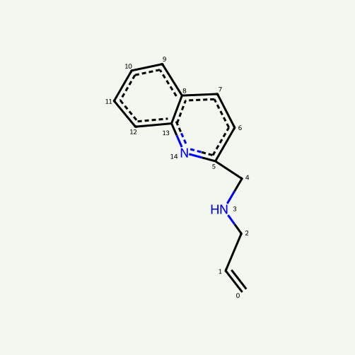 C=CCNCc1ccc2ccccc2n1